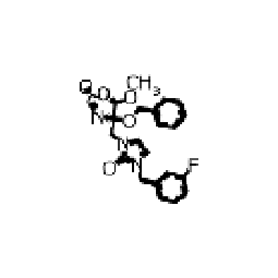 COC(=O)[C@@](Cn1ccn(Cc2cccc(F)c2)c1=O)(N=C=O)OCc1ccccc1